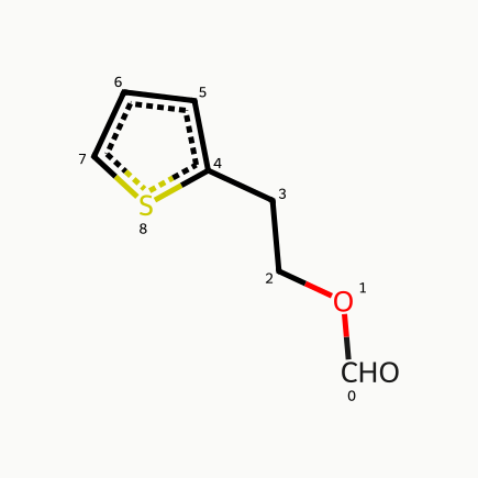 O=COCCc1cccs1